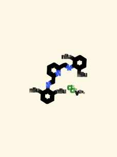 CCCCc1cccc(CCCC)c1N=Cc1cccc(C=Nc2c(CCCC)cccc2CCCC)n1.[Cl-].[Cl-].[V+2]